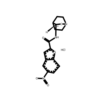 Cl.O=C(N[C@H]1CN2CCC1CC2)c1cc2cc([N+](=O)[O-])ccc2s1